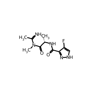 CC(=N)N(C)C(=O)[C@H](C)NC(=O)c1n[nH]cc1F